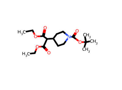 CCOC(=O)C(C(=O)OCC)C1CCN(C(=O)OC(C)(C)C)CC1